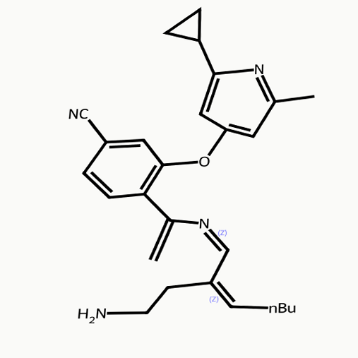 C=C(/N=C\C(=C/CCCC)CCN)c1ccc(C#N)cc1Oc1cc(C)nc(C2CC2)c1